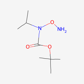 CC(C)N(ON)C(=O)OC(C)(C)C